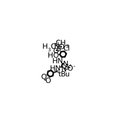 CN(C)S(=O)(=O)c1c(Cl)ccc(Nc2n[s+]([O-])nc2N[C@@H](c2ccc3c(c2)OCO3)C(C)(C)C)c1O